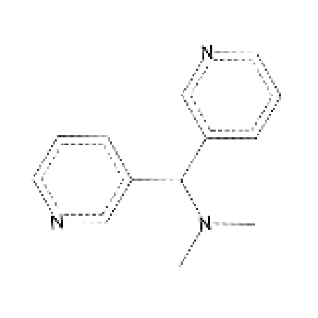 CN(C)C(c1cccnc1)c1cccnc1